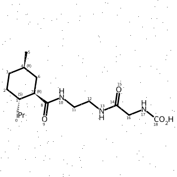 CC(C)[C@@H]1CC[C@@H](C)C[C@H]1C(=O)NCCNC(=O)CNC(=O)O